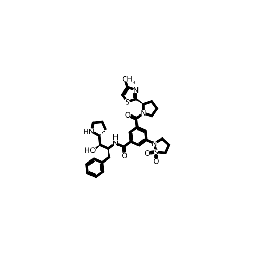 Cc1csc([C@H]2CCCN2C(=O)c2cc(C(=O)N[C@@H](Cc3ccccc3)[C@@H](O)[C@H]3CCCN3)cc(N3CCCS3(=O)=O)c2)n1